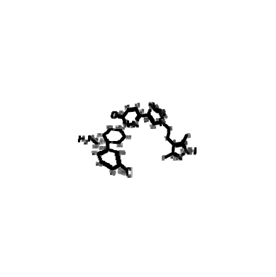 Cc1n[nH]c(C)c1CCn1cc(-c2ccc(=O)n([C@H]3CC[C@](CN)(c4cccc(Cl)c4)CC3)n2)nn1